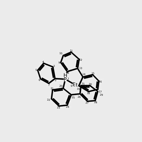 CC[PH](c1ccccc1)(c1ccccc1-c1ccccc1)c1ccccc1-c1ccccc1